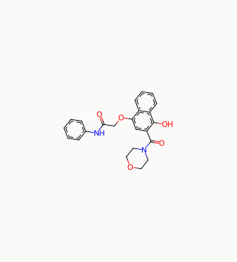 O=C(COc1cc(C(=O)N2CCOCC2)c(O)c2ccccc12)Nc1ccccc1